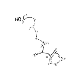 O=C(O)CSCCNC(=O)c1ccoc1